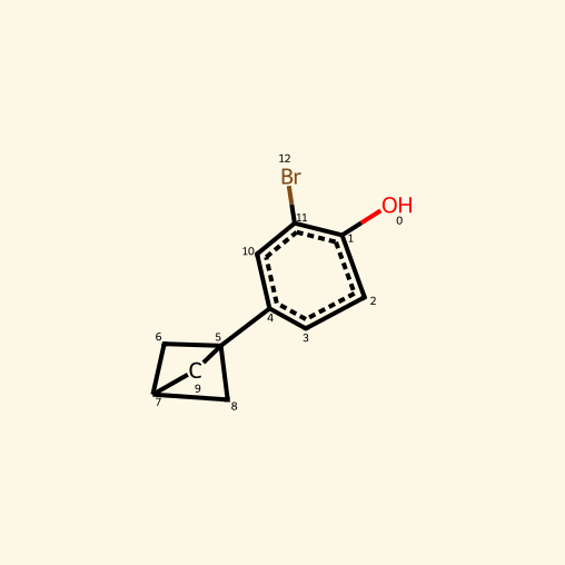 Oc1ccc(C23CC(C2)C3)cc1Br